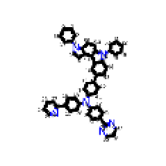 c1ccc(-n2ccc3c4c5cc(-c6ccc(N(c7ccc(-c8ccccn8)cc7)c7ccc(-c8ncccn8)cc7)cc6)ccc5n(-c5ccccc5)c4ccc32)cc1